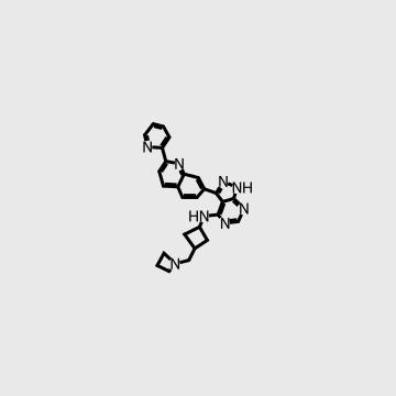 c1ccc(-c2ccc3ccc(-c4n[nH]c5ncnc(NC6CC(CN7CCC7)C6)c45)cc3n2)nc1